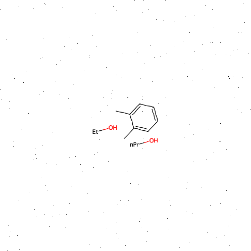 CCCO.CCO.Cc1ccccc1C